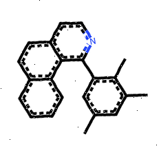 Cc1cc(C)c(C)c(-c2nccc3ccc4ccccc4c23)c1